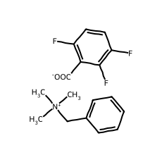 C[N+](C)(C)Cc1ccccc1.O=C([O-])c1c(F)ccc(F)c1F